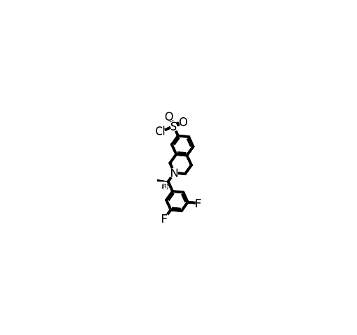 C[C@H](c1cc(F)cc(F)c1)N1CCc2ccc(S(=O)(=O)Cl)cc2C1